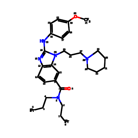 CC(C)CCN(CCC(C)C)C(=O)c1ccc2nc(Nc3ccc(OC(F)(F)F)cc3)n(CCCN3CCCCC3)c2c1